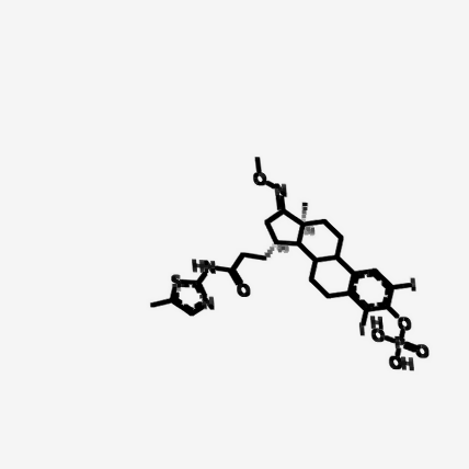 CON=C1C[C@@H](CCC(=O)Nc2ncc(C)s2)C2C3CCc4c(cc(I)c(OP(=O)(O)O)c4I)C3CC[C@]12C